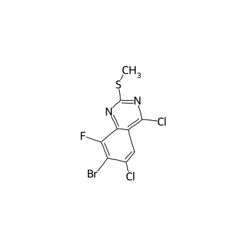 CSc1nc(Cl)c2cc(Cl)c(Br)c(F)c2n1